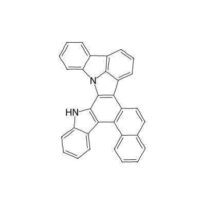 c1ccc2c(c1)ccc1c2c2c3ccccc3[nH]c2c2c1c1cccc3c4ccccc4n2c31